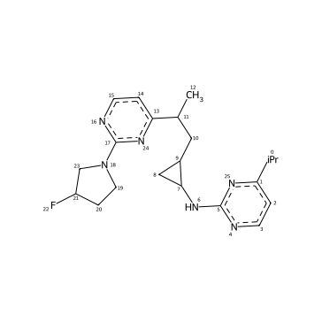 CC(C)c1ccnc(NC2CC2CC(C)c2ccnc(N3CCC(F)C3)n2)n1